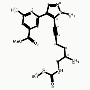 COC(=O)c1cc(C)nc(-c2cnn(C)c2C#CCCC(C)CNC(=O)OC(C)(C)C)c1